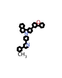 Cc1cccc(-c2ccnc(-c3ccc(-n4c5ccc(-c6ccc7oc8ccccc8c7c6)cc5c5c6ccccc6ccc54)cc3)c2)c1